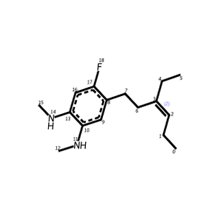 CC/C=C(/CC)CCc1cc(NC)c(NC)cc1F